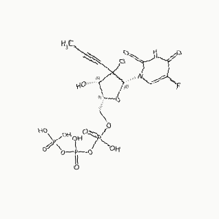 CC#CC1(Cl)[C@@H](O)[C@@H](COP(=O)(O)OP(=O)(O)OP(=O)(O)O)O[C@H]1n1cc(F)c(=O)[nH]c1=O